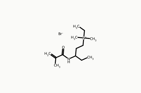 C=C(C)C(=O)NC(CC)CC[N+](C)(C)CC.[Br-]